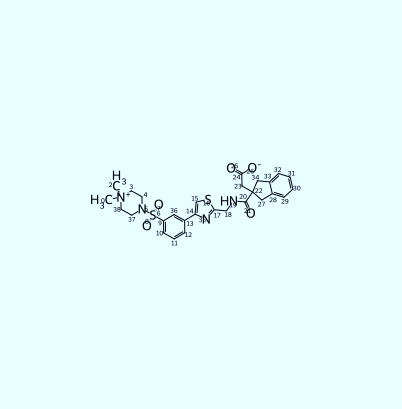 C[N+]1(C)CCN(S(=O)(=O)c2cccc(-c3csc(CNC(=O)C4(CC(=O)[O-])Cc5ccccc5C4)n3)c2)CC1